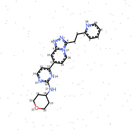 c1ccc(CCc2nnc3cc(-c4ccnc(NC5CCOCC5)n4)ccn23)nc1